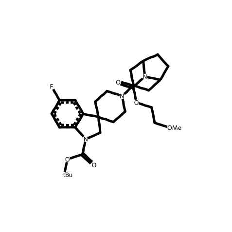 COCCOC(=O)N1C2CCC1CC(N1CCC3(CC1)CN(C(=O)OC(C)(C)C)c1ccc(F)cc13)C2